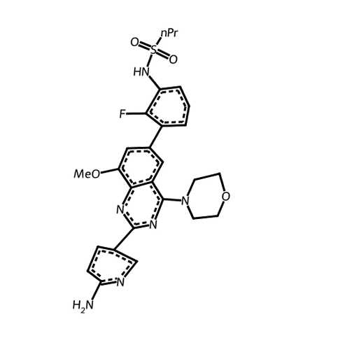 CCCS(=O)(=O)Nc1cccc(-c2cc(OC)c3nc(-c4ccc(N)nc4)nc(N4CCOCC4)c3c2)c1F